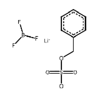 FB(F)F.O=S(=O)([O-])OCc1ccccc1.[Li+]